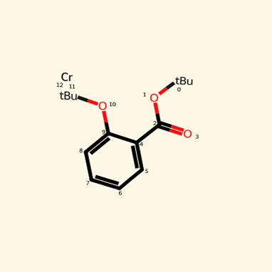 CC(C)(C)OC(=O)c1ccccc1OC(C)(C)C.[Cr]